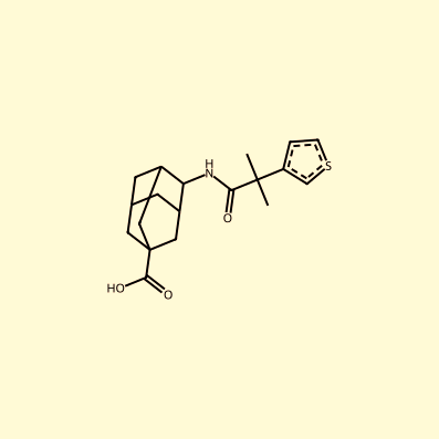 CC(C)(C(=O)NC1C2CC3CC1CC(C(=O)O)(C3)C2)c1ccsc1